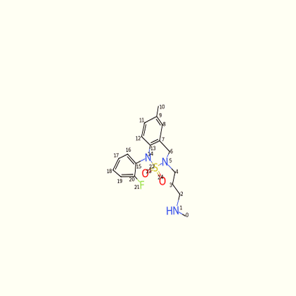 CNCCCN1Cc2cc(C)ccc2N(c2ccccc2F)S1(=O)=O